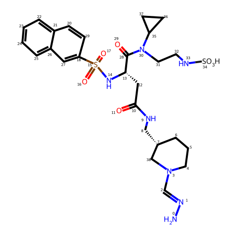 NN=CN1CCC[C@@H](CNC(=O)C[C@H](NS(=O)(=O)c2ccc3ccccc3c2)C(=O)N(CCNS(=O)(=O)O)C2CC2)C1